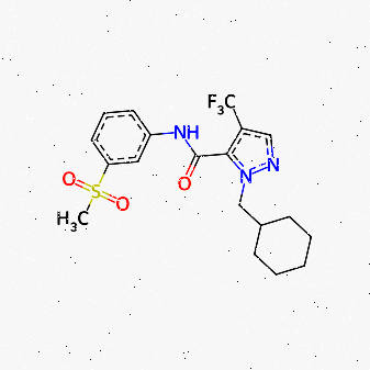 CS(=O)(=O)c1cccc(NC(=O)c2c(C(F)(F)F)cnn2CC2CCCCC2)c1